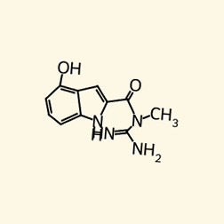 CN(C(=N)N)C(=O)c1cc2c(O)cccc2[nH]1